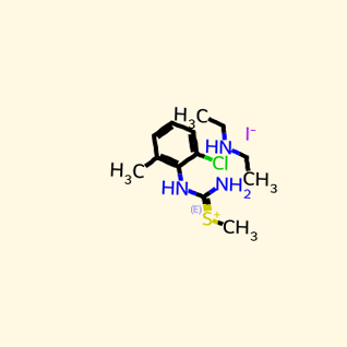 C/[S+]=C(\N)Nc1c(C)cccc1Cl.CCNCC.[I-]